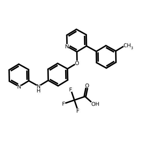 Cc1cccc(-c2cccnc2Oc2ccc(Nc3ccccn3)cc2)c1.O=C(O)C(F)(F)F